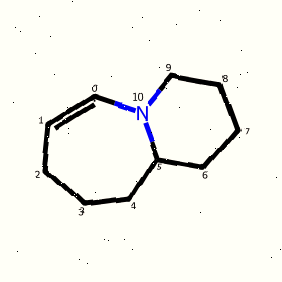 [C]1=CCCCC2CCCCN12